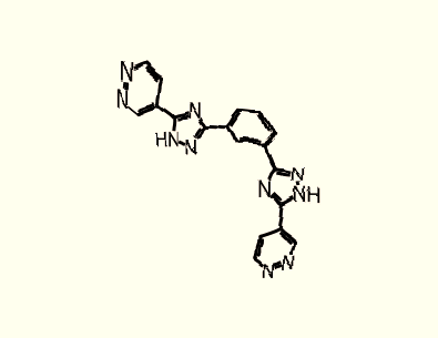 c1cc(-c2n[nH]c(-c3ccnnc3)n2)cc(-c2n[nH]c(-c3ccnnc3)n2)c1